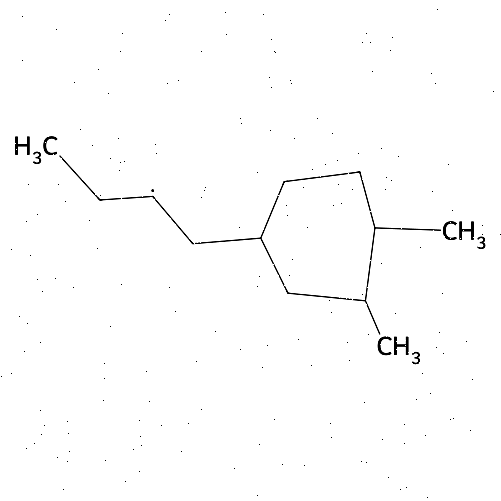 CC[CH]CC1CCC(C)C(C)C1